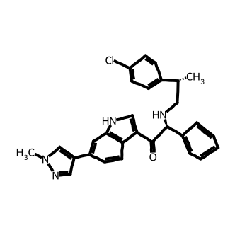 C[C@H](CN[C@H](C(=O)c1c[nH]c2cc(-c3cnn(C)c3)ccc12)c1ccccc1)c1ccc(Cl)cc1